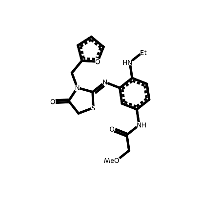 CCNc1ccc(NC(=O)COC)cc1/N=C1\SCC(=O)N1Cc1ccco1